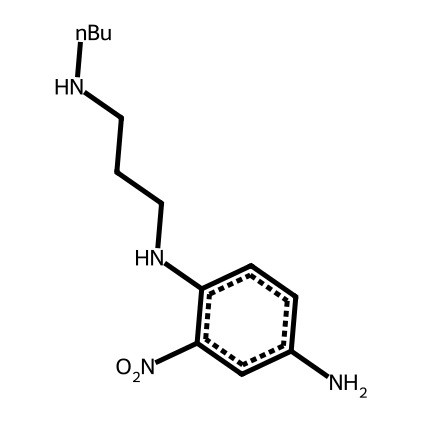 CCCCNCCCNc1ccc(N)cc1[N+](=O)[O-]